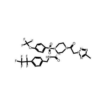 Cc1nnn(CC(=O)N2CCN(S(=O)(=O)c3ccc(OC(F)(F)F)cc3)[C@@H](C(=O)NCc3ccc(C(F)(F)C(F)(F)F)cc3)C2)n1